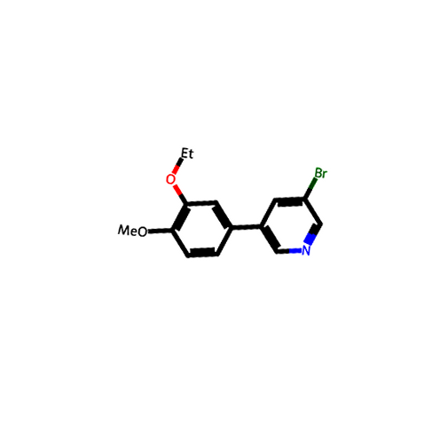 CCOc1cc(-c2cncc(Br)c2)ccc1OC